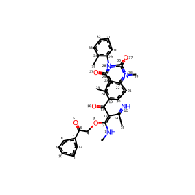 CN/C(OCC(=O)c1ccccc1)=C(\C(C)=N)C(=O)c1ccc2c(c1C)c(=O)n(-c1ccccc1C)c(=O)n2C